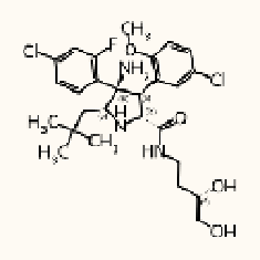 COc1ccc(Cl)cc1[C@H]1[C@H](C(=O)NCC[C@H](O)CO)N[C@@H](CC(C)(C)C)[C@]1(N)c1ccc(Cl)cc1F